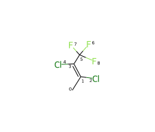 C/C(Cl)=C(\Cl)C(F)(F)F